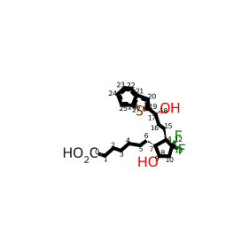 O=C(O)CCCCCC[C@H]1[C@H](O)CC(F)(F)[C@@H]1CC[C@@H](O)c1cc2ccccc2s1